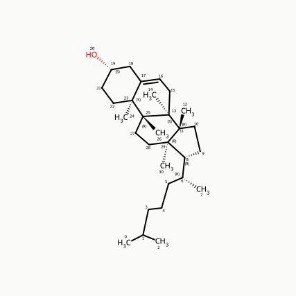 CC(C)CCC[C@@H](C)[C@H]1CC[C@@]2(C)[C@]3(C)CC=C4C[C@@H](O)CC[C@]4(C)[C@@]3(C)CC[C@]12C